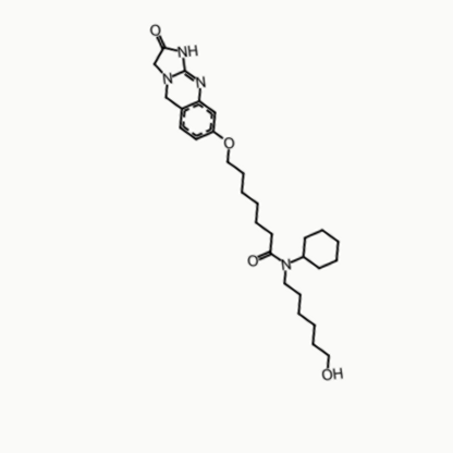 O=C1CN2Cc3ccc(OCCCCCCC(=O)N(CCCCCCO)C4CCCCC4)cc3N=C2N1